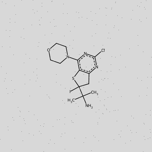 CC(C)(N)C1(I)Cc2nc(Cl)nc(N3CCOCC3)c2S1